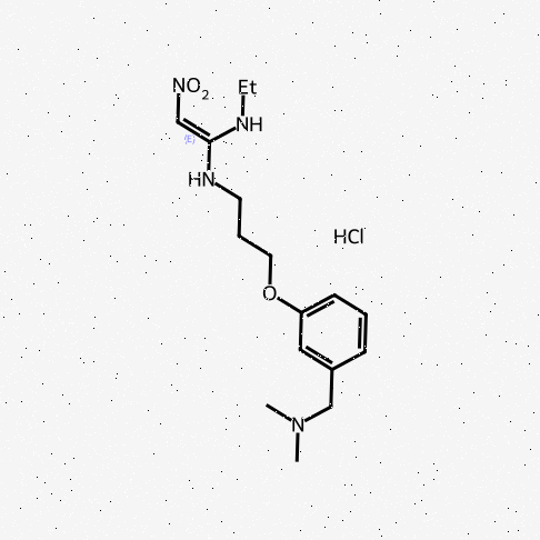 CCN/C(=C\[N+](=O)[O-])NCCCOc1cccc(CN(C)C)c1.Cl